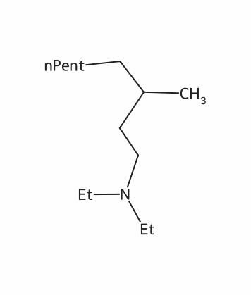 CCCCCCC(C)CCN(CC)CC